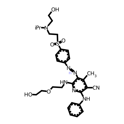 Cc1c(C#N)c(Nc2ccccc2)nc(NCCOCCO)c1/N=N/c1ccc(S(=O)(=O)CCN(CCO)C(C)C)cc1